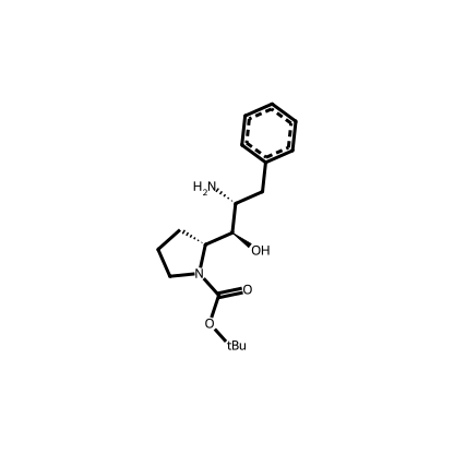 CC(C)(C)OC(=O)N1CCC[C@@H]1[C@H](O)[C@H](N)Cc1ccccc1